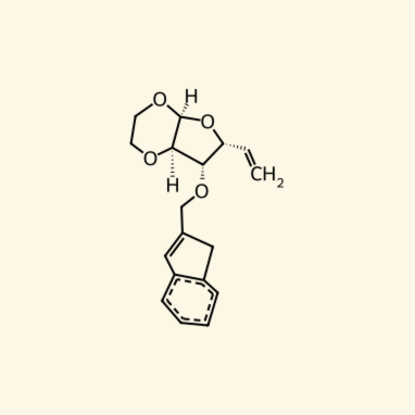 C=C[C@H]1O[C@@H]2OCCO[C@@H]2[C@H]1OCC1=Cc2ccccc2C1